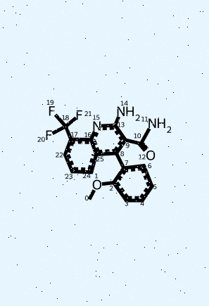 COc1ccccc1-c1c(C(N)=O)c(N)nc2c(C(F)(F)F)cccc12